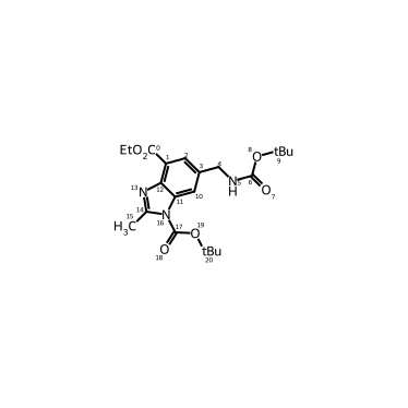 CCOC(=O)c1cc(CNC(=O)OC(C)(C)C)cc2c1nc(C)n2C(=O)OC(C)(C)C